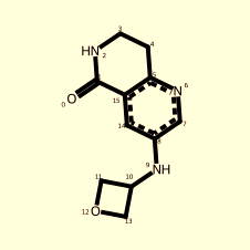 O=C1NCCc2ncc(NC3COC3)cc21